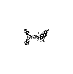 C[C@@H]1C[C@H]2[C@@H]3CCC4=CC(=O)C=C[C@]4(C)C3=CC[C@]2(C)[C@H]1C(=O)CN1CCN(c2cc(N3CCC4(CC3)OCCO4)nc(N3CCC4(CC3)OCCO4)n2)CC1